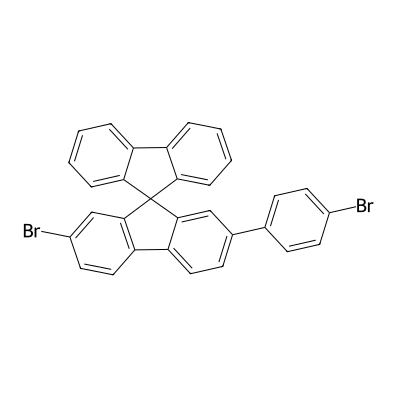 Brc1ccc(-c2ccc3c(c2)C2(c4ccccc4-c4ccccc42)c2cc(Br)ccc2-3)cc1